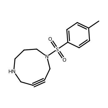 Cc1ccc(S(=O)(=O)N2CC#CCNCCC2)cc1